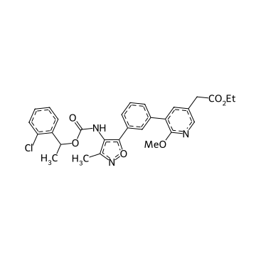 CCOC(=O)Cc1cnc(OC)c(-c2cccc(-c3onc(C)c3NC(=O)OC(C)c3ccccc3Cl)c2)c1